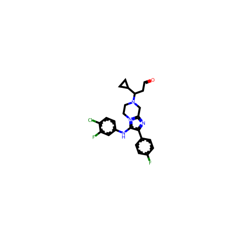 O=CCC(C1CC1)N1CCn2c(nc(-c3ccc(F)cc3)c2Nc2ccc(Cl)c(F)c2)C1